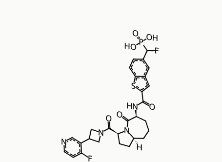 O=C(N[C@H]1CCC[C@H]2CC[C@@H](C(=O)N3CC(c4cnccc4F)C3)N2C1=O)c1cc2cc(C(F)P(=O)(O)O)ccc2s1